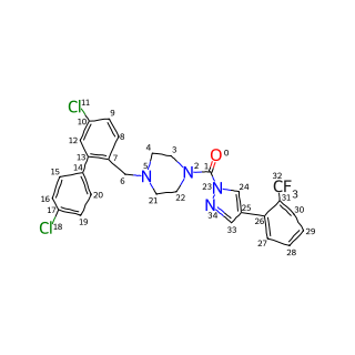 O=C(N1CCN(Cc2ccc(Cl)cc2-c2ccc(Cl)cc2)CC1)n1cc(-c2ccccc2C(F)(F)F)cn1